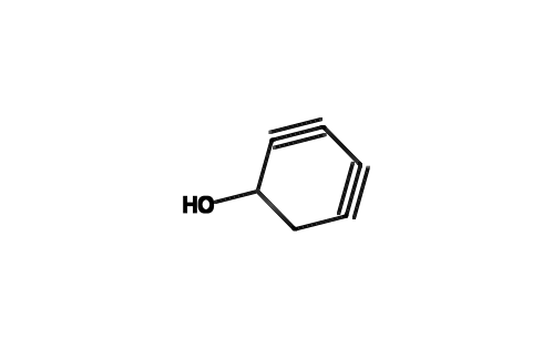 OC1C#CC#CC1